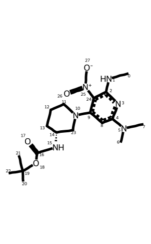 CNc1nc(N(C)C)cc(N2CCC[C@@H](NC(=O)OC(C)(C)C)C2)c1[N+](=O)[O-]